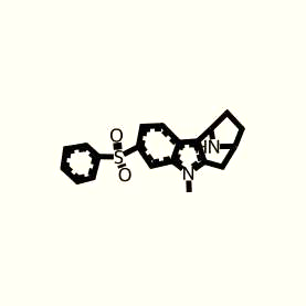 Cn1c2c(c3ccc(S(=O)(=O)c4ccccc4)cc31)C1CCC(C2)N1